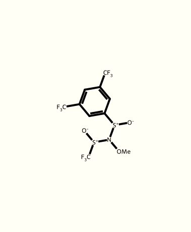 CON([S+]([O-])c1cc(C(F)(F)F)cc(C(F)(F)F)c1)[S+]([O-])C(F)(F)F